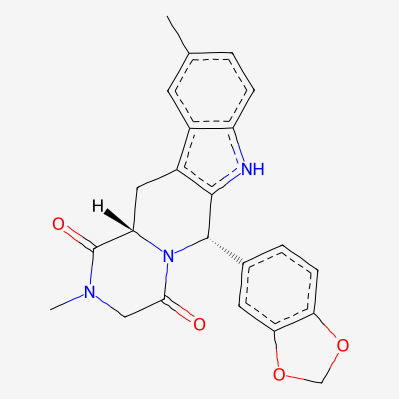 Cc1ccc2[nH]c3c(c2c1)C[C@H]1C(=O)N(C)CC(=O)N1[C@H]3c1ccc2c(c1)OCO2